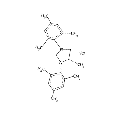 Cc1cc(C)c(N2CC(C)N(c3c(C)cc(C)cc3C)C2)c(C)c1.Cl